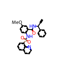 C#CC(NC(=O)c1cc(OC)ccc1NS(=O)(=O)c1cccc2cccnc12)c1ccccc1